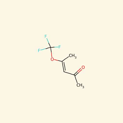 CC(=O)/C=C(\C)OC(F)(F)F